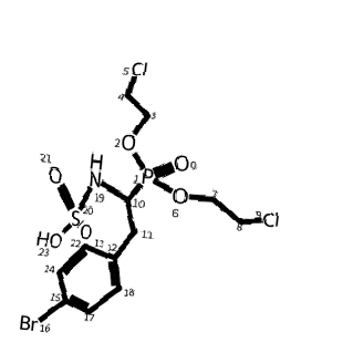 O=P(OCCCl)(OCCCl)C(Cc1ccc(Br)cc1)NS(=O)(=O)O